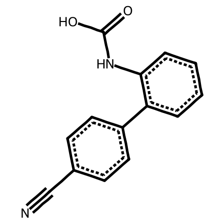 N#Cc1ccc(-c2ccccc2NC(=O)O)cc1